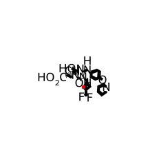 C[C@@H](CN1C(O)N=C(Nc2ccc(Oc3ccccn3)cc2)N(CC23CC(C(F)F)(C2)C3)C1O)C(=O)O